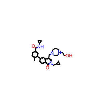 Cc1ccc(C(=O)NC2CC2)cc1-c1ccc2c(=O)n(CC3CC3)cc(CN3CCCN(CCO)CC3)c2c1